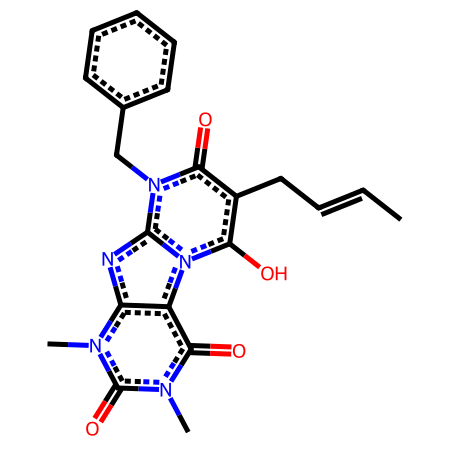 CC=CCc1c(O)n2c3c(=O)n(C)c(=O)n(C)c3nc2n(Cc2ccccc2)c1=O